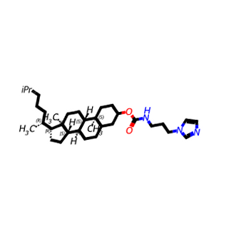 CC(C)CCC[C@@H](C)[C@H]1CC[C@H]2[C@@H]3CCC4CC(OC(=O)NCCCn5ccnc5)CC[C@]4(C)[C@H]3CC[C@]12C